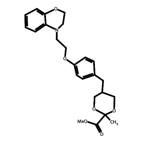 COC(=O)C1(C)OCC(Cc2ccc(OCCN3CCOc4ccccc43)cc2)CO1